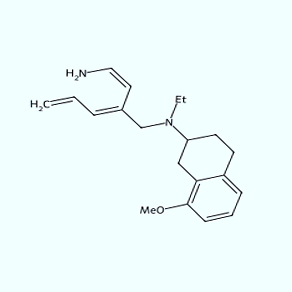 C=C/C=C(\C=C/N)CN(CC)C1CCc2cccc(OC)c2C1